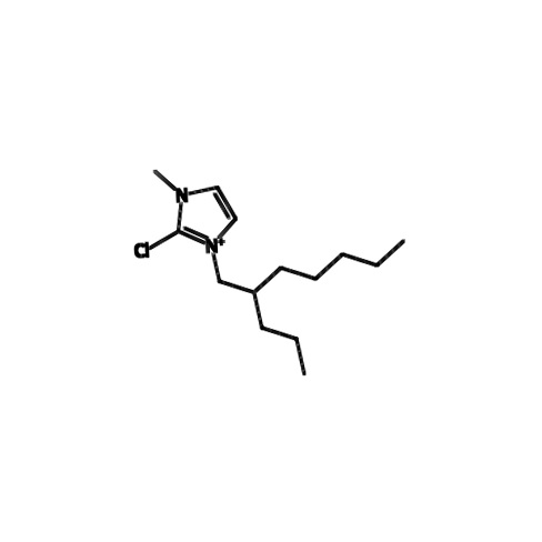 CCCCCC(CCC)C[n+]1ccn(C)c1Cl